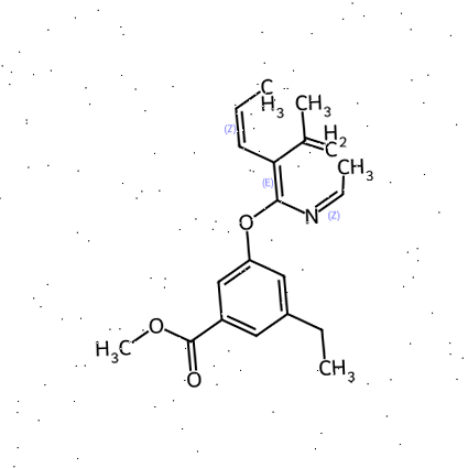 C=C(C)C(/C=C\C)=C(\N=C/C)Oc1cc(CC)cc(C(=O)OC)c1